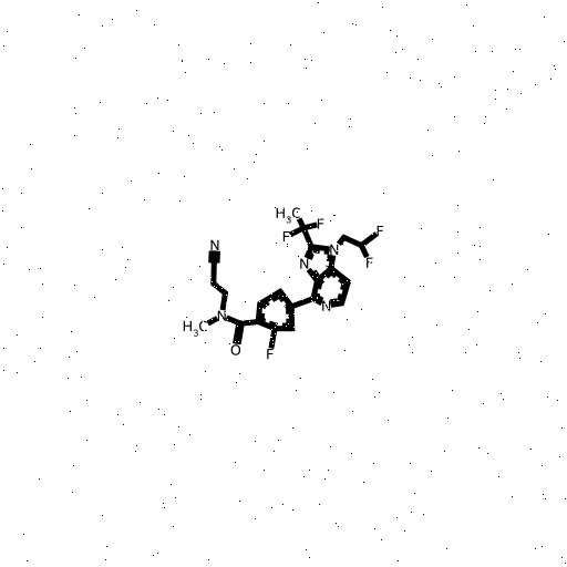 CN(CCC#N)C(=O)c1ccc(-c2nccc3c2nc(C(C)(F)F)n3CC(F)F)cc1F